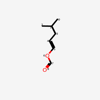 CC(C)CC=COC=O